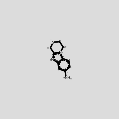 Nc1ccc2c(c1)nc1n2CCSC1